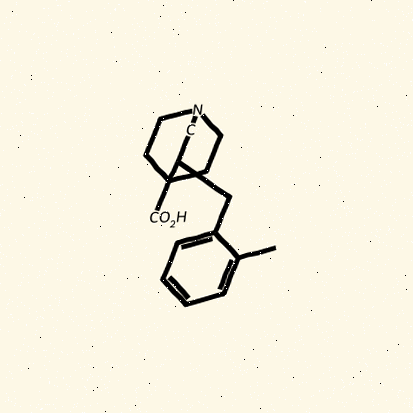 Cc1ccccc1CC1CN2CCC1(C(=O)O)CC2